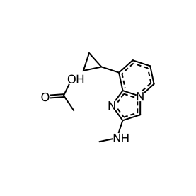 CC(=O)O.CNc1cn2cccc(C3CC3)c2n1